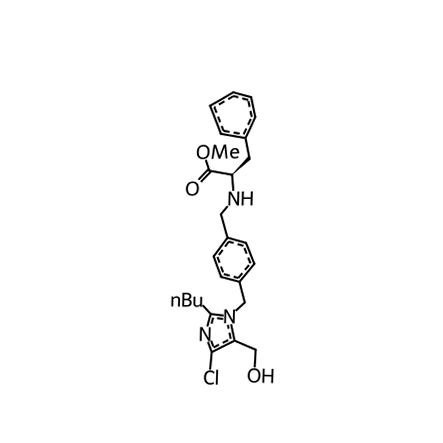 CCCCc1nc(Cl)c(CO)n1Cc1ccc(CN[C@H](Cc2ccccc2)C(=O)OC)cc1